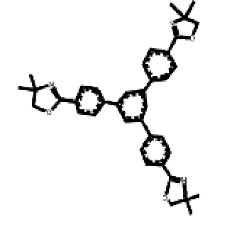 CC1(C)COC(c2ccc(-c3cc(-c4ccc(C5=NC(C)(C)CO5)cc4)cc(-c4ccc(C5=NC(C)(C)CO5)cc4)c3)cc2)=N1